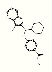 COC(=O)c1ccc(NC(c2sc3cccnc3c2C)C2CCCCC2)cc1